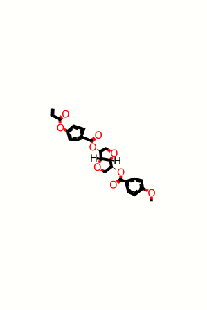 C=CC(=O)Oc1ccc(C(=O)O[C@@H]2CO[C@H]3[C@@H]2OC[C@H]3OC(=O)c2ccc(OC)cc2)cc1